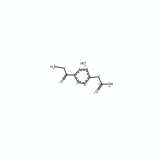 Cl.NCC(=O)c1ccc(CC(=O)O)cc1